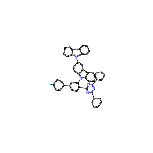 Fc1ccc(-c2ccc(-c3nc(-c4ccccc4)nc(-c4ccccc4)n3)c(-n3c4ccccc4c4cc(-n5c6ccccc6c6ccccc65)ccc43)c2)cc1